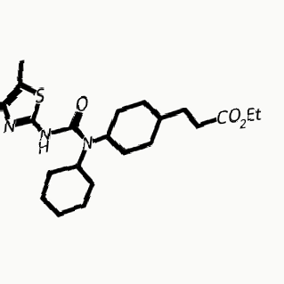 CCOC(=O)CCC1CCC(N(C(=O)Nc2ncc(C)s2)C2CCCCC2)CC1